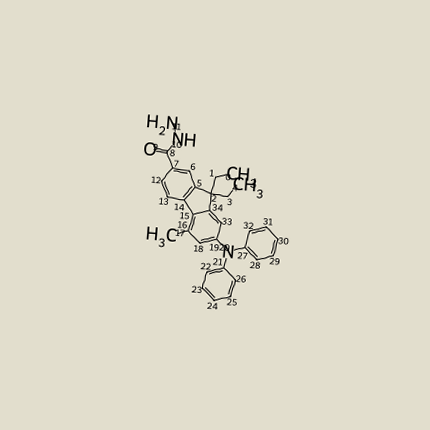 CCC1(CC)c2cc(C(=O)NN)ccc2-c2c(C)cc(N(c3ccccc3)c3ccccc3)cc21